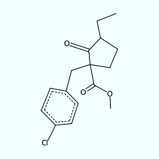 CCC1CCC(Cc2ccc(Cl)cc2)(C(=O)OC)C1=O